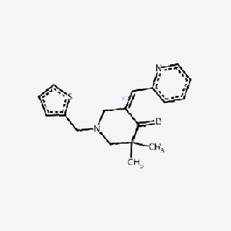 CC1(C)CN(Cc2cccs2)C/C(=C/c2ccccn2)C1=O